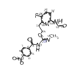 C/N=C(/NC(=O)c1ccc([N+](=O)[O-])cc1)OCCc1nc(NC=O)ccc1F